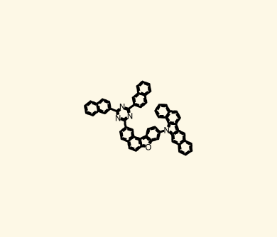 c1ccc2cc(-c3nc(-c4ccc5ccccc5c4)nc(-c4ccc5ccc6oc7cc(-n8c9cc%10ccccc%10cc9c9ccc%10ccccc%10c98)ccc7c6c5c4)n3)ccc2c1